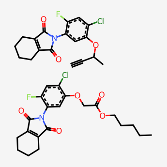 C#CC(C)Oc1cc(N2C(=O)C3=C(CCCC3)C2=O)c(F)cc1Cl.CCCCCOC(=O)COc1cc(N2C(=O)C3=C(CCCC3)C2=O)c(F)cc1Cl